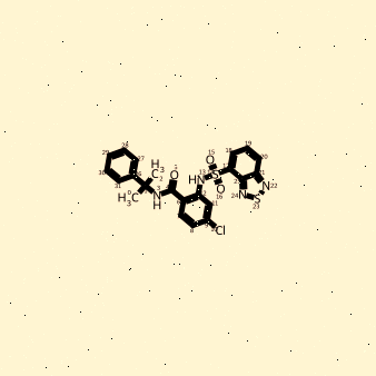 CC(C)(NC(=O)c1ccc(Cl)cc1NS(=O)(=O)c1cccc2nsnc12)c1ccccc1